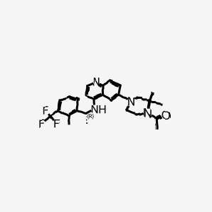 CC(=O)N1CCN(c2ccc3nccc(N[C@H](C)c4cccc(C(F)(F)F)c4C)c3c2)CC1(C)C